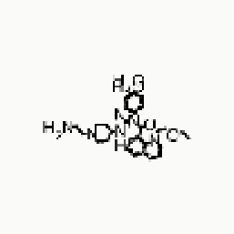 CCOCCOC(c1cccc2cccnc12)n1c(NC2CCN(CCN)CC2)nc2ccccc21.O.O